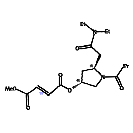 CCN(CC)C(=O)C[C@@H]1C[C@@H](OC(=O)/C=C/C(=O)OC)CN1C(=O)C(C)C